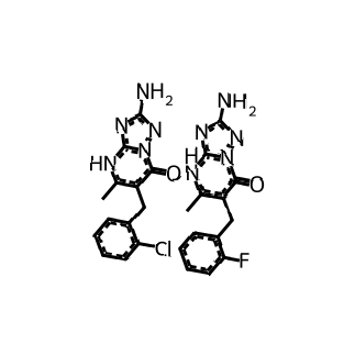 Cc1[nH]c2nc(N)nn2c(=O)c1Cc1ccccc1Cl.Cc1[nH]c2nc(N)nn2c(=O)c1Cc1ccccc1F